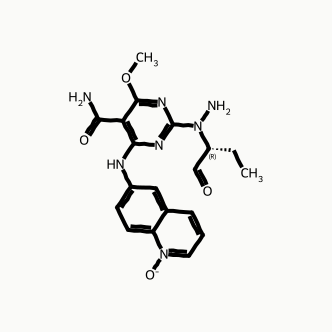 CC[C@H](C=O)N(N)c1nc(Nc2ccc3c(ccc[n+]3[O-])c2)c(C(N)=O)c(OC)n1